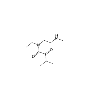 CCN(CCNC)C(=O)C(=O)C(C)C